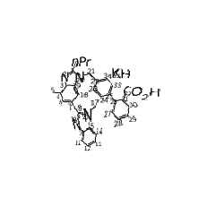 CCCc1nc2c(C)cc(-c3nc4ccccc4n3C)cc2n1Cc1ccc(-c2ccccc2C(=O)O)cc1.[KH]